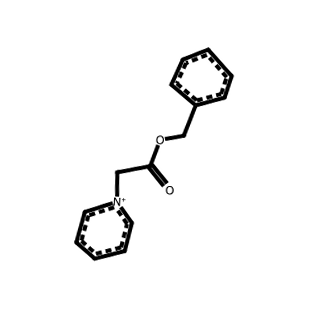 O=C(C[n+]1ccccc1)OCc1ccccc1